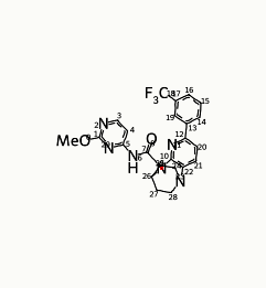 COc1nccc(NC(=O)N2c3nc(-c4cccc(C(F)(F)F)c4)ccc3N3CCC2CC3)n1